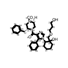 O=C(O)N1CCN(C(=O)c2ncn(C3CCCCC3(O)COCCCO)c2-c2ccccc2)[C@H](Cc2ccccc2)C1